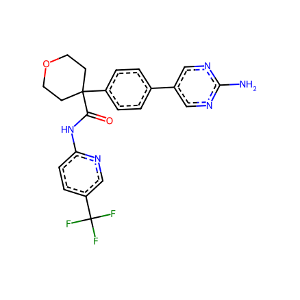 Nc1ncc(-c2ccc(C3(C(=O)Nc4ccc(C(F)(F)F)cn4)CCOCC3)cc2)cn1